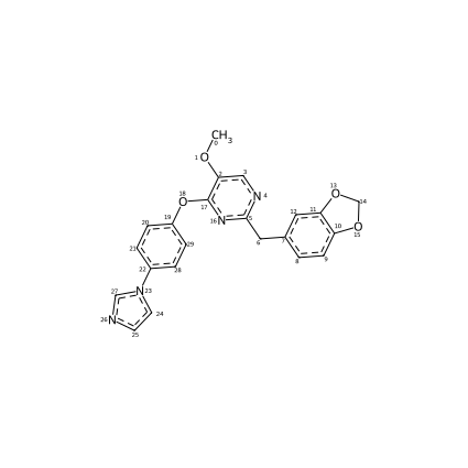 COc1cnc(Cc2ccc3c(c2)OCO3)nc1Oc1ccc(-n2ccnc2)cc1